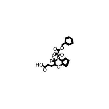 O=C(O)CCC1Oc2ccccc2N(S(=O)(=O)C(=O)OCc2ccccc2)C1(F)F